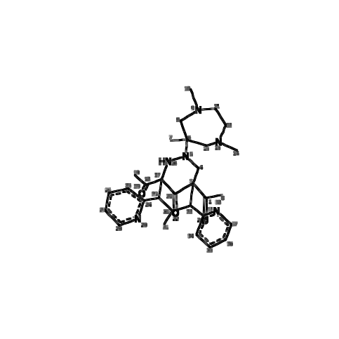 CC(=O)C12CN(C3(C)CN(C)CCN(C)C3)NC(C(C)=O)(C1=O)C(c1ccccn1)C(C)C2c1ccccn1